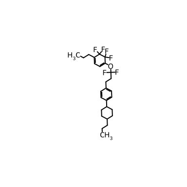 CCCC1=CC=C(OC(F)(F)CCc2ccc(C3CCC(CCC)CC3)cc2)C(F)(F)C1(F)F